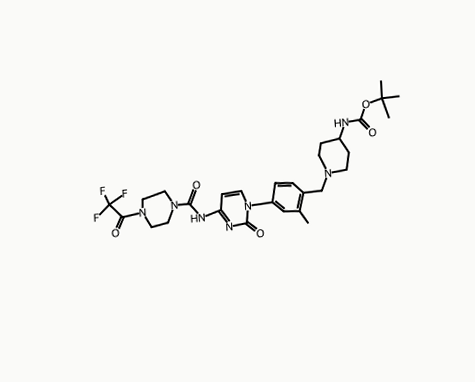 Cc1cc(-n2ccc(NC(=O)N3CCN(C(=O)C(F)(F)F)CC3)nc2=O)ccc1CN1CCC(NC(=O)OC(C)(C)C)CC1